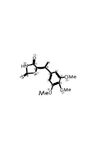 COc1cc(C(C)=C2SC(=S)NC2=O)cc(OC)c1OC